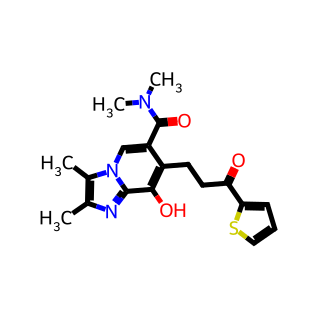 Cc1nc2c(O)c(CCC(=O)c3cccs3)c(C(=O)N(C)C)cn2c1C